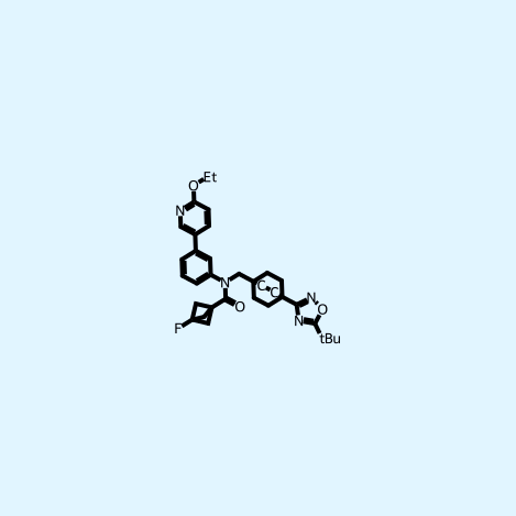 CCOc1ccc(-c2cccc(N(CC34CCC(c5noc(C(C)(C)C)n5)(CC3)CC4)C(=O)C34CC(F)(C3)C4)c2)cn1